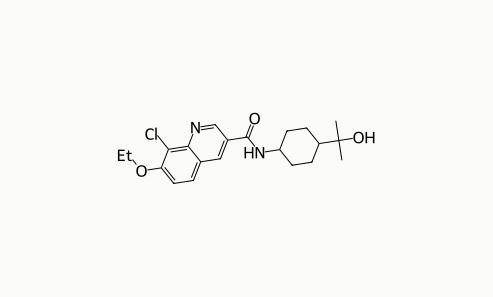 CCOc1ccc2cc(C(=O)NC3CCC(C(C)(C)O)CC3)cnc2c1Cl